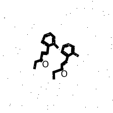 CCC(=O)C=Cc1ccccc1C.CCC(=O)C=Cc1ccccc1C